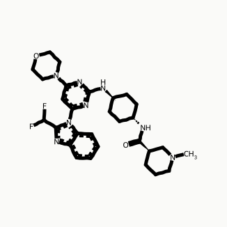 CN1CCC[C@@H](C(=O)N[C@H]2CC[C@H](Nc3nc(N4CCOCC4)cc(-n4c(C(F)F)nc5ccccc54)n3)CC2)C1